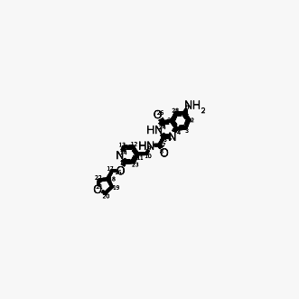 Nc1ccc2nc(C(=O)NCc3ccnc(OCC4CCOC4)c3)[nH]c(=O)c2c1